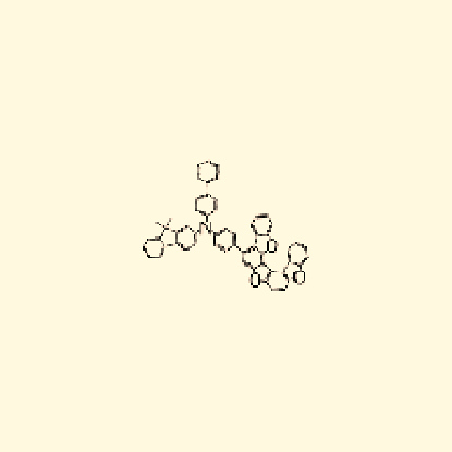 CC1(C)c2ccccc2-c2ccc(N(c3ccc(-c4ccccc4)cc3)c3ccc(-c4cc5oc6ccc7oc8ccccc8c7c6c5c5oc6ccccc6c45)cc3)cc21